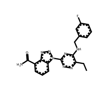 CCc1nnc(-n2nnc3c(C(N)=O)cccc32)nc1NCc1cccc(F)c1